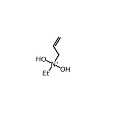 C=CC[N+](O)(O)CC